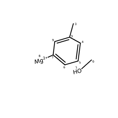 CO.Cc1ccc[c]([Mg+2])c1